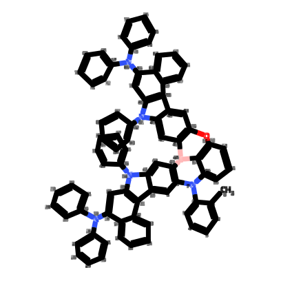 Cc1ccccc1N1c2cc3c4c5ccccc5c(N(c5ccccc5)c5ccccc5)cc4n(-c4ccccc4)c3cc2B2c3cc4c(cc3Oc3cccc1c32)c1c2ccccc2c(N(c2ccccc2)c2ccccc2)cc1n4-c1ccccc1